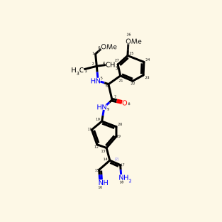 COCC(C)(C)NC(C(=O)Nc1ccc(/C(C=N)=C/N)cc1)c1cccc(OC)c1